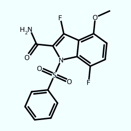 COc1ccc(F)c2c1c(F)c(C(N)=O)n2S(=O)(=O)c1ccccc1